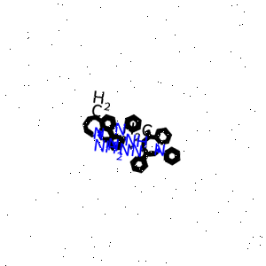 C=C1/C=c2\c(c3ccccc3n2C2=N/C(=N/C=C(\N)N3/C=C\C=C/C(=C)c4ccc5c(c43)c3ccccc3n5-c3ccccc3)CN2)=C/N(c2ccccc2)C2CC=CC=C12